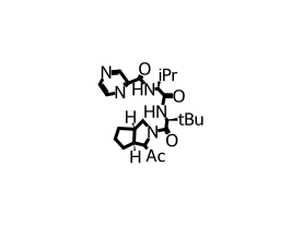 CC(=O)C1[C@H]2CCC[C@H]2CN1C(=O)[C@@H](NC(=O)[C@@H](NC(=O)c1cnccn1)C(C)C)C(C)(C)C